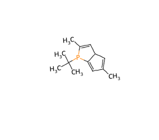 CC1=CC2C=C(C)P(C(C)(C)C)C2=C1